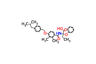 CCC(NC(=O)c1ccc(OCc2ccc(CC(C)C)cc2)c(C)c1C)(Oc1ccccc1)C(=O)O